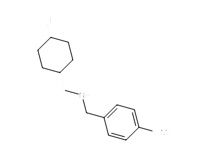 COc1ccc(CNC[C@H]2CC[C@@H](O)CC2)cc1